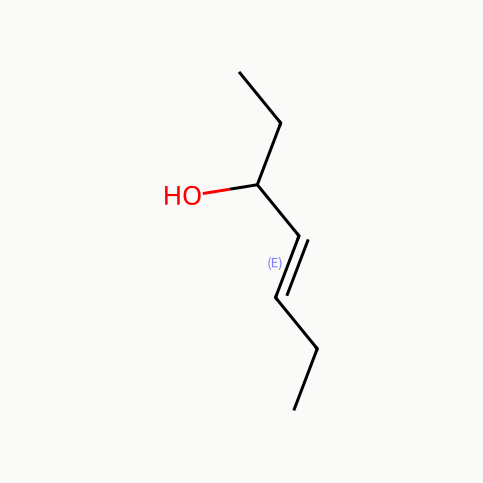 CC/C=C/C(O)CC